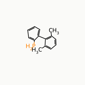 Cc1cccc(C)c1-c1ccccc1P